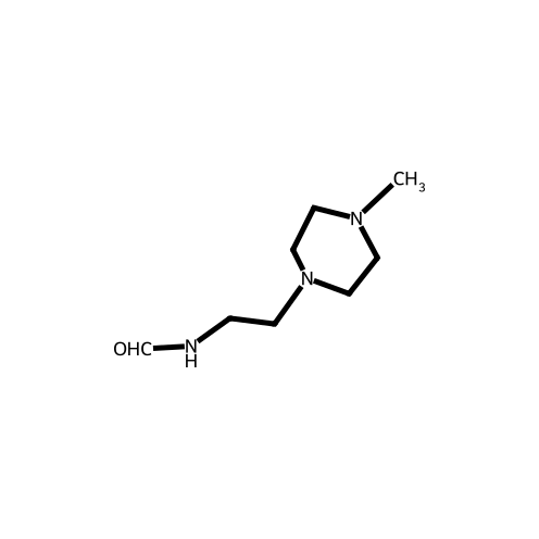 CN1CCN(CCNC=O)CC1